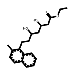 CCOC(=O)CC(O)CC(O)CCc1c(C)ccc2ccccc12